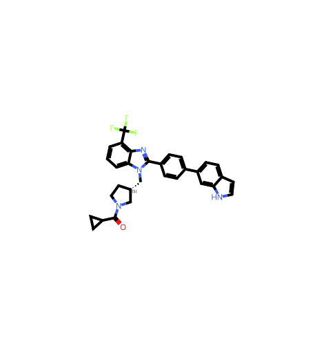 O=C(C1CC1)N1CC[C@H](Cn2c(-c3ccc(-c4ccc5cc[nH]c5c4)cc3)nc3c(C(F)(F)F)cccc32)C1